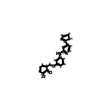 Clc1cccc(COc2cccc(Nc3nccc(-c4nccs4)n3)c2)c1Cl